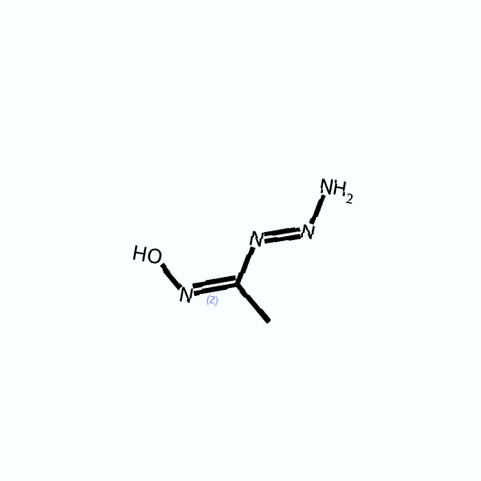 C/C(N=NN)=N/O